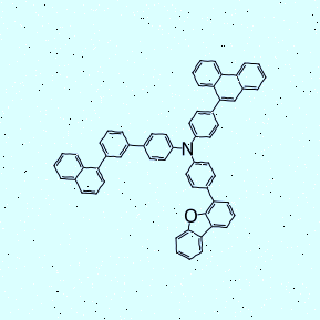 c1cc(-c2ccc(N(c3ccc(-c4cc5ccccc5c5ccccc45)cc3)c3ccc(-c4cccc5c4oc4ccccc45)cc3)cc2)cc(-c2cccc3ccccc23)c1